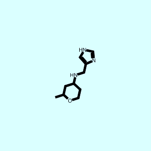 CC1CC(NCc2c[nH]cn2)CCO1